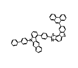 c1ccc(-c2ccc(-n3c4cc5ccccc5cc4c4c(-c5ccc(-c6nc7ccc8sc9ccc(-c%10cc%11ccccc%11c%11ccccc%10%11)cc9c8c7s6)cc5)cccc43)cc2)cc1